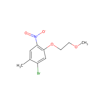 COCCOc1cc(Br)c(C)cc1[N+](=O)[O-]